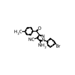 Cc1ccc(C(=O)c2nn(-c3ccc(Br)cc3)c(N)c2C#N)cc1